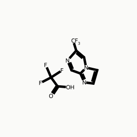 FC(F)(F)c1cn2ccnc2cn1.O=C(O)C(F)(F)F